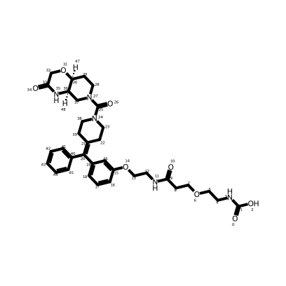 O=C(O)NCCOCCC(=O)NCCOc1cccc(C(=C2CCN(C(=O)N3CC[C@@H]4OCC(=O)N[C@@H]4C3)CC2)c2ccccc2)c1